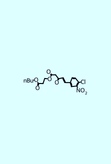 CCCCOC(=O)CCOC(=O)CC(=O)C=Cc1ccc(Cl)c([N+](=O)[O-])c1